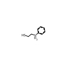 SCC[SiH2]c1ccccc1